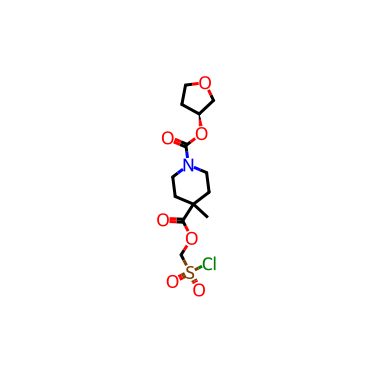 CC1(C(=O)OCS(=O)(=O)Cl)CCN(C(=O)O[C@H]2CCOC2)CC1